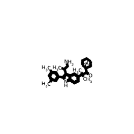 Cc1cc(C)cc(-c2[nH]c3ccc(C(C)(C)C(=O)N4CC5CCC4CC5)cc3c2C(C)CN)c1